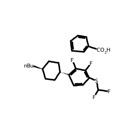 CCCC[C@H]1CC[C@H](c2ccc(SC(F)F)c(F)c2F)CC1.O=C(O)c1ccccc1